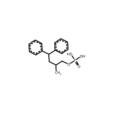 CC(COP(=O)(O)O)CC(c1ccccc1)c1ccccc1